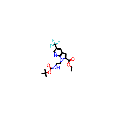 CCOC(=O)c1cc2cc(C(F)(F)F)cnc2n1CCNC(=O)OC(C)(C)C